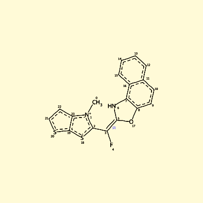 C[n+]1c(/C(F)=C2\Nc3c(ccc4ccccc34)O2)sc2sccc21